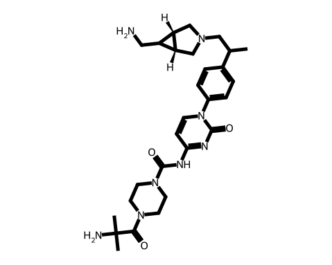 CC(CN1C[C@@H]2C(CN)[C@@H]2C1)c1ccc(-n2ccc(NC(=O)N3CCN(C(=O)C(C)(C)N)CC3)nc2=O)cc1